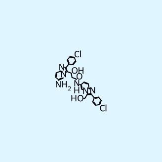 Nc1ccc2nc(-c3ccc(Cl)cc3)c(C(O)CC(=O)Nc3ccc4nc(-c5ccc(Cl)cc5)c(CO)n4c3)n2c1